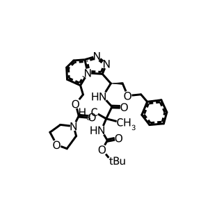 CC(C)(C)OC(=O)NC(C)(C)C(=O)N[C@H](COCc1ccccc1)c1nnc2cccc(COC(=O)N3CCOCC3)n12